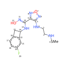 CSNCCNc1nonc1/C(=N/O)NC1Cc2ccc(F)cc21